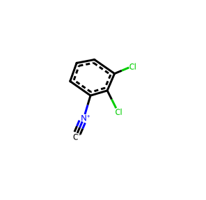 [C-]#[N+]c1cccc(Cl)c1Cl